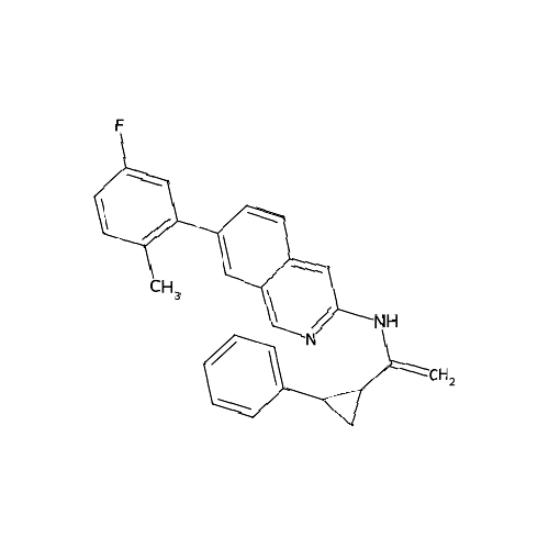 C=C(Nc1cc2ccc(-c3cc(F)ccc3C)cc2cn1)C1CC1c1ccccc1